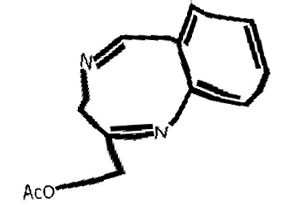 CC(=O)OCC1=Nc2ccccc2C=NC1